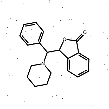 O=C1OC(C(c2ccccc2)N2CCCCC2)c2ccccc21